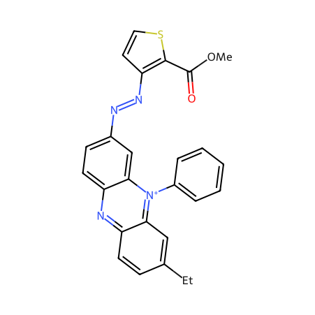 CCc1ccc2nc3ccc(N=Nc4ccsc4C(=O)OC)cc3[n+](-c3ccccc3)c2c1